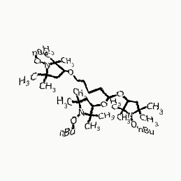 CCCCON1C(C)(C)CC(OCCCCC(OC2CC(C)(C)N(OCCCC)C2(C)C)OC2CC(C)(C)N(OCCCC)C2(C)C)C1(C)C